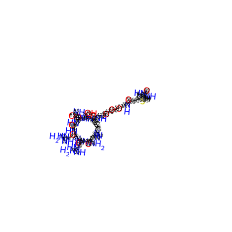 C[C@@H]1NC(=O)[C@H](CCCNC(=N)N)NC(=O)[C@H](CCCNC(=N)N)NC(=O)[C@@H](N)Cc2cn(nn2)CCCC[C@@H](C(=O)NCCCOCCOCCOCCCNC(=O)CCCCC2SC[C@H]3NC(=O)N[C@@H]23)NC(=O)[C@H](CO)NC(=O)[C@H](CCC(N)=O)NC1=O